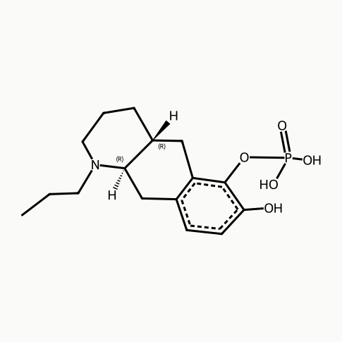 CCCN1CCC[C@@H]2Cc3c(ccc(O)c3OP(=O)(O)O)C[C@H]21